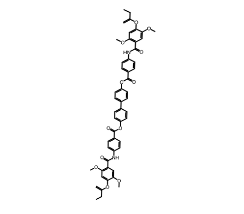 C=C(CC)Oc1cc(OC)c(C(=O)Nc2ccc(C(=O)Oc3ccc(-c4ccc(OC(=O)c5ccc(NC(=O)c6cc(OC)c(OC(=C)CC)cc6OC)cc5)cc4)cc3)cc2)cc1OC